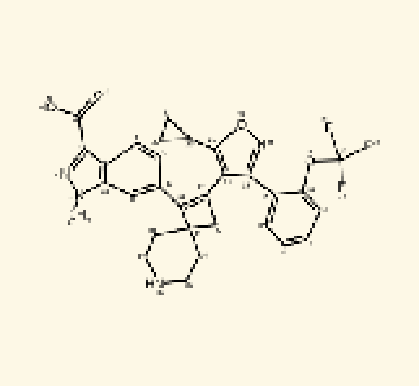 Cn1nc(C(=O)O)c2ccc(C3=C(c4c(-c5ccccc5OC(F)(F)F)noc4C4CC4)CC34CCNCC4)cc21